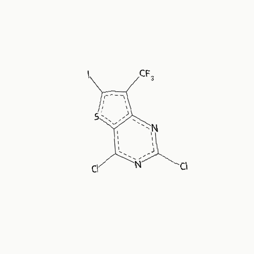 FC(F)(F)c1c(I)sc2c(Cl)nc(Cl)nc12